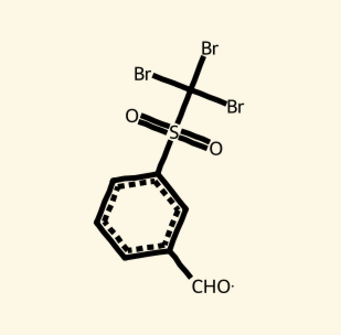 O=[C]c1cccc(S(=O)(=O)C(Br)(Br)Br)c1